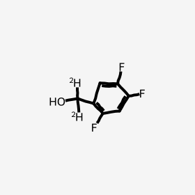 [2H]C([2H])(O)c1cc(F)c(F)cc1F